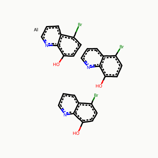 Oc1ccc(Br)c2cccnc12.Oc1ccc(Br)c2cccnc12.Oc1ccc(Br)c2cccnc12.[Al]